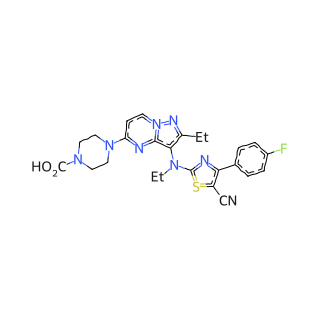 CCc1nn2ccc(N3CCN(C(=O)O)CC3)nc2c1N(CC)c1nc(-c2ccc(F)cc2)c(C#N)s1